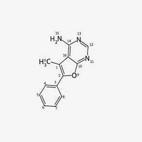 Cc1c(-c2ccccc2)oc2ncnc(N)c12